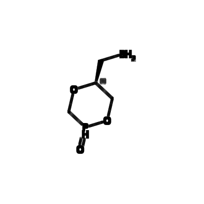 BC[C@H]1CO[PH](=O)CO1